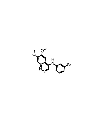 COc1cc2nncc(Nc3cccc(Br)c3)c2cc1OC